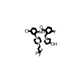 O=C(Nc1ccc(Cl)cc1N1CCN(CCC(F)(F)F)CC1)c1ccc(F)cc1CN1CCC(O)C1